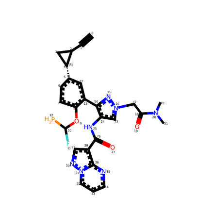 C#CC1C[C@H]1c1ccc(OC(F)P)c(-c2nn(CC(=O)N(C)C)cc2NC(=O)c2cnn3cccnc23)c1